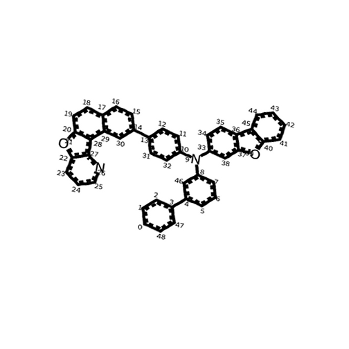 c1ccc(-c2cccc(N(c3ccc(-c4ccc5ccc6oc7cccnc7c6c5c4)cc3)c3ccc4c(c3)oc3ccccc34)c2)cc1